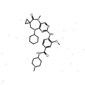 COc1cc(C(=O)NC2CCN(C)CC2)ccc1Nc1ncc2c(n1)N(C1CCCCC1)CC1(CC1)C(=O)N2C